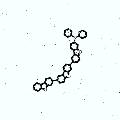 c1ccc(N(c2ccccc2)c2ccc3c(c2)oc2ccc(-c4ccc5c(c4)oc4ccc(-c6ccc7c(c6)oc6ccccc67)cc45)cc23)cc1